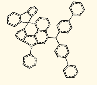 c1ccc(-c2ccc(N(c3ccc(-c4ccccc4)cc3)c3cc4c5c6c(cccc36)C3(c6ccccc6-c6ccccc63)c3cccc(c35)n4-c3ccccc3)cc2)cc1